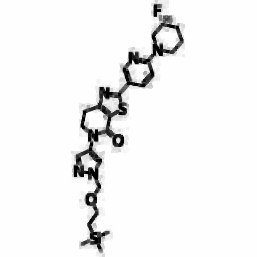 C[Si](C)(C)CCOCn1cc(N2CCc3nc(-c4ccc(N5CCC[C@@H](F)C5)nc4)sc3C2=O)cn1